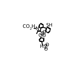 Cc1c(S(=O)(=O)Oc2ccc(C[SH](=O)=O)cc2)c2c(-c3ccccc3S)cccc2n1CC(=O)O